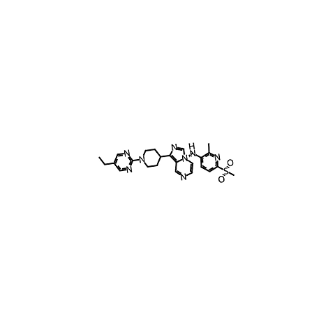 CCc1cnc(N2CCC(C3=C4C=NC=C[N+]4(Nc4ccc(S(C)(=O)=O)nc4C)C=N3)CC2)nc1